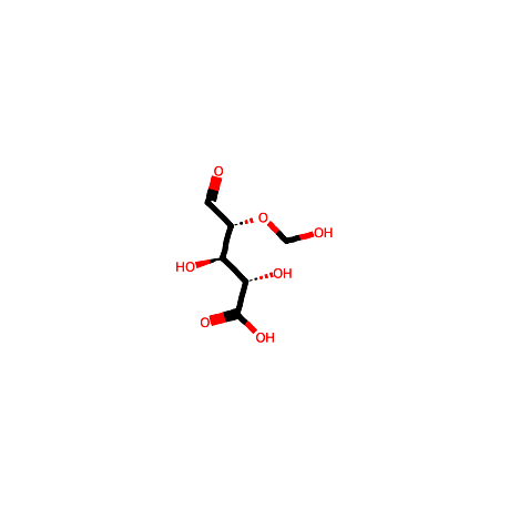 O=C[C@H](OCO)[C@H](O)[C@H](O)C(=O)O